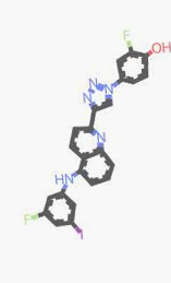 Oc1ccc(-n2cc(-c3ccc4c(Nc5cc(F)cc(I)c5)cccc4n3)nn2)cc1F